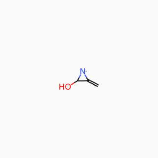 C=C1[N]C1O